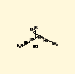 CCC(CC)COc1cc(CNCCCNCCCN)cc(CNCCCNCCCN)c1.Cl